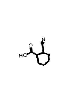 N#CC1CCCCC1C(=O)O